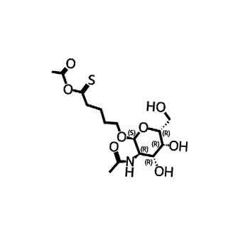 CC(=O)N[C@H]1[C@@H](OCCCCC(=S)OC(C)=O)O[C@H](CO)[C@H](O)[C@@H]1O